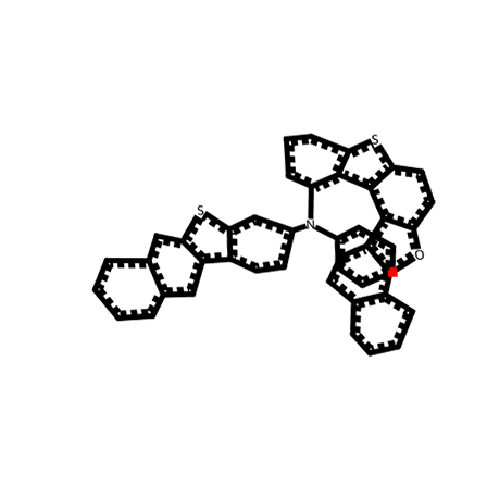 c1ccc(N(c2ccc3c(c2)sc2cc4ccccc4cc23)c2cccc3sc4ccc5oc6c7ccccc7ccc6c5c4c23)cc1